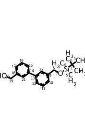 CC(C)(C)[Si](C)(C)OCc1cccc(-c2cccc(CO)c2)c1